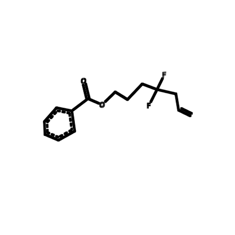 C=CCC(F)(F)CCCOC(=O)c1ccccc1